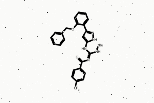 CC(C)(C)N/C(=N/C(=O)c1ccc(C(F)(F)F)cc1)Nc1cc(-c2ccccc2OCc2ccccc2)n[nH]1